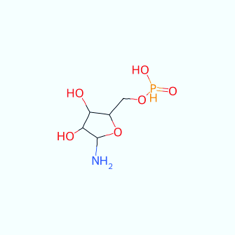 NC1OC(CO[PH](=O)O)C(O)C1O